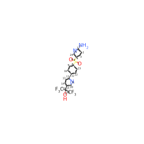 Nc1ccc(S(=O)(=O)c2ccc(-c3ccc(C(O)(C(F)(F)F)C(F)(F)F)cn3)cc2)cn1